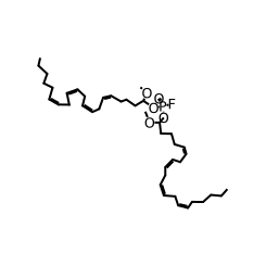 CCCCC/C=C\C/C=C\C/C=C\C/C=C\CCCC(OC)OP(=O)(F)OC(CCC/C=C\C/C=C\C/C=C\C/C=C\CCCCC)OC